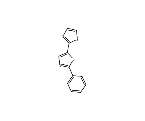 c1ccc(-c2ncc(-c3nccs3)s2)cc1